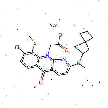 CSc1c(Cl)ccc2c(=O)c3ccc(N(C)C4CC5(CCC5)C4)nc3n(CC(=O)[O-])c12.[Na+]